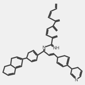 C=C/C=C\C(=C)C(=C)/C=C\C(=C)C(=N)/N=C(\C=C\C1C=CC(C2C=NC=CC2)=CC1)C1=CCC(C2=CCC3CCC=CC3=C2)C=C1